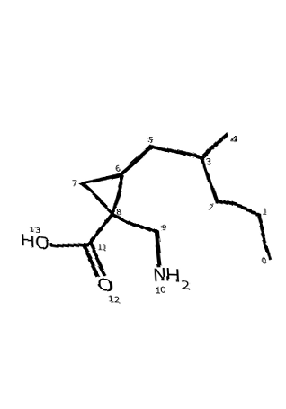 CCCC(C)CC1CC1(CN)C(=O)O